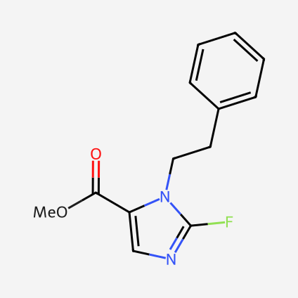 COC(=O)c1cnc(F)n1CCc1ccccc1